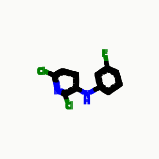 Fc1cccc(Nc2ccc(Cl)nc2Cl)c1